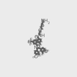 COc1ccc(-c2nc(-c3cccc(C(F)(F)F)c3)n(Cc3ccc(C(=O)NCCOCCOCCN)cc3)c2-c2ccc(OC)c(F)c2)cc1F